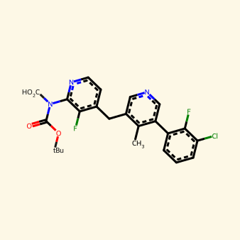 Cc1c(Cc2ccnc(N(C(=O)O)C(=O)OC(C)(C)C)c2F)cncc1-c1cccc(Cl)c1F